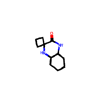 O=C1NC2CCCCC2NC12CCC2